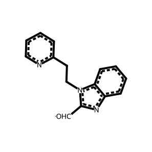 O=[C]c1nc2ccccc2n1CCc1ccccn1